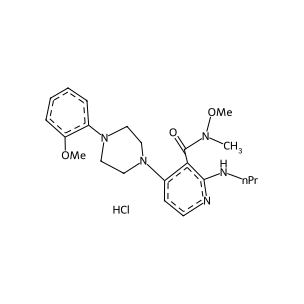 CCCNc1nccc(N2CCN(c3ccccc3OC)CC2)c1C(=O)N(C)OC.Cl